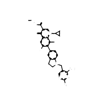 COOC(=O)c1cn(C2CC2)c2c(F)c(-c3ccc4c(c3)CCN4Cc3cnc(N)nc3N)c(F)cc2c1=O